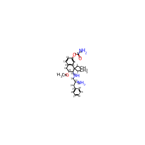 CCC1(CC)c2cc(OC(N)=O)ccc2C[C@@H](OC)[C@@H]1NC[C@@H](N)Cc1ccccc1